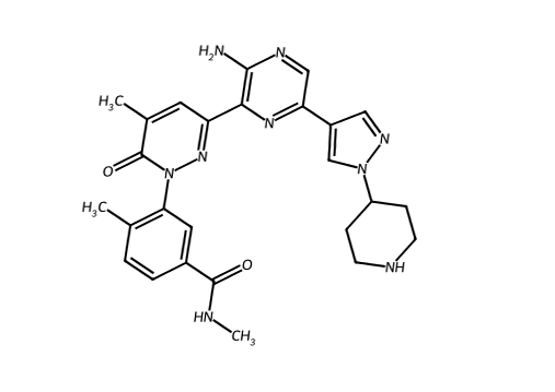 CNC(=O)c1ccc(C)c(-n2nc(-c3nc(-c4cnn(C5CCNCC5)c4)cnc3N)cc(C)c2=O)c1